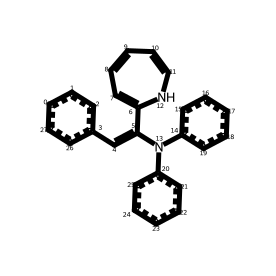 [c]1ccc(C=C(C2=CC=CC=CN2)N(c2ccccc2)c2ccccc2)cc1